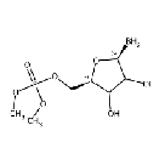 B[C@@H]1O[C@H](COP(=O)(OC)OC)C(O)C1O